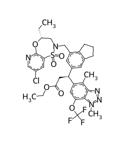 CCOC(=O)C[C@@H](c1cc2c(c(CN3C[C@@H](CC)Oc4ncc(Cl)cc4S3(=O)=O)c1)CCC2)c1cc(OC(F)(F)F)c2c(nnn2C)c1C